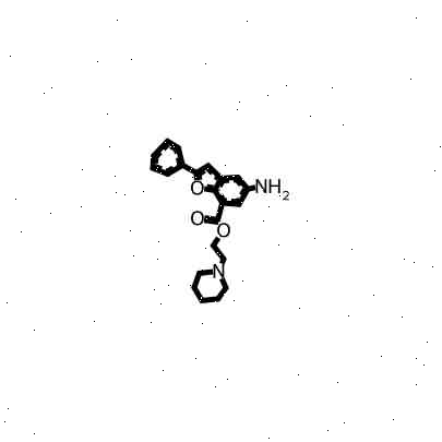 Nc1cc(C(=O)OCCN2CCCCC2)c2oc(-c3ccccc3)cc2c1